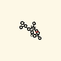 C1=CCCC(c2nc(-c3ccccc3)nc(-c3cc(-c4ccc(-c5ccccc5)c(-c5ccccc5)c4)ccc3-c3ccc4c(c3)oc3ccc5c(c6ccccc6n5-c5ccccc5)c34)n2)=C1